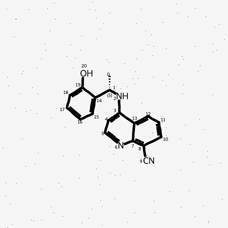 C[C@H](Nc1ccnc2c(C#N)cccc12)c1ccccc1O